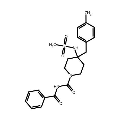 Cc1ccc(CC2(NS(C)(=O)=O)CCN(C(=O)NC(=O)c3ccccc3)CC2)cc1